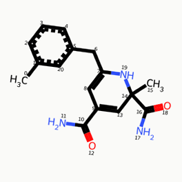 Cc1cccc(CC2=CC(C(N)=O)=CC(C)(C(N)=O)N2)c1